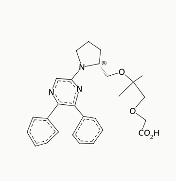 CC(C)(COCC(=O)O)OC[C@H]1CCCN1c1cnc(-c2ccccc2)c(-c2ccccc2)n1